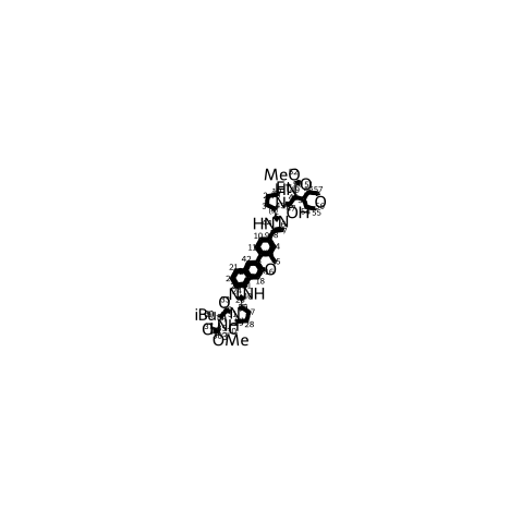 CC[C@H]1CC[C@@H](c2ncc(-c3ccc4c(c3)COc3cc5c(ccc6nc([C@@H]7CC[C@H](C)N7C(=O)[C@@H](NC(=O)OC)[C@@H](C)CC)[nH]c65)cc3-4)[nH]2)N1C(O)C(NC(=O)OC)C1CCOCC1